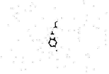 CCOc1ccc2nc(NC(=O)CBr)sc2c1